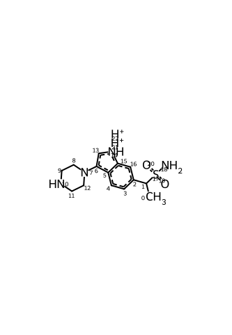 CC(c1ccc2c(N3CCNCC3)c[nH]c2c1)S(N)(=O)=O.[H+].[H+]